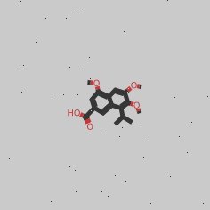 COc1cc2c(OC)cc(C(=O)O)cc2c(C(C)C)c1OC